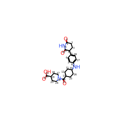 O=C1CCC(c2ccc(NC3CCC(C(=O)N4CCC(C(=O)O)CC4)CC3)cc2)C(=O)N1